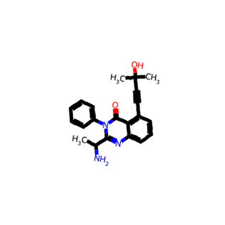 CC(N)c1nc2cccc(C#CC(C)(C)O)c2c(=O)n1-c1ccccc1